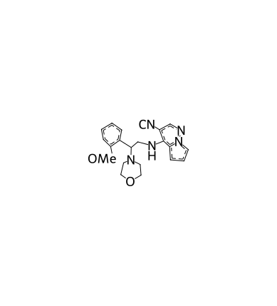 [C-]#[N+]c1cnn2cccc2c1NCC(c1ccccc1OC)N1CCOCC1